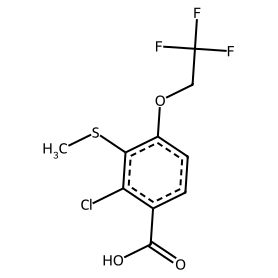 CSc1c(OCC(F)(F)F)ccc(C(=O)O)c1Cl